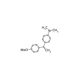 C=C(c1ccc(OC)cc1)c1ccc(N(C)C)cc1